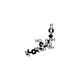 Cc1ncsc1-c1ccc([C@H](C)NC(=O)[C@@H]2C[C@@H](O)CN2C(=O)[C@@H](NC(=O)CNC2CC(N3CCNCC3)C2)C(C)(C)C)cc1